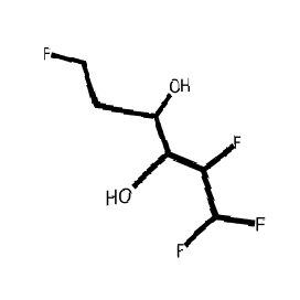 OC(CCF)C(O)C(F)C(F)F